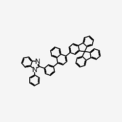 c1ccc(-n2c(-c3cccc(-c4ccc(-c5ccc6c(c5)C5(c7ccccc7-c7ccccc75)c5ccccc5-6)c5ccccc45)c3)nc3ccccc32)cc1